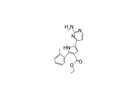 CCOC(=O)c1cc(-c2ccnc(N)n2)[nH]c1-c1ccccc1C